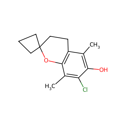 Cc1c(O)c(Cl)c(C)c2c1CCC1(CCC1)O2